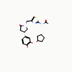 COc1ccc([C@H]2CC(=O)N(Cc3csc(NC(C)=O)n3)C2)cc1OC1CCCC1